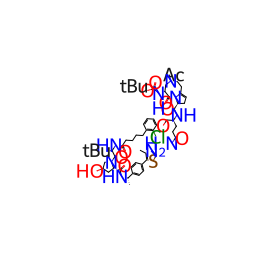 CC(=O)N1CCC2=CC[C@@H](C(=O)N[C@@H](CCC(N)=O)COc3cccc(CCCCC(=O)N[C@H](C(=O)N4C[C@H](O)C[C@H]4C(=O)N[C@@H](C)c4ccc(-c5scnc5C)cc4)C(C)(C)C)c3Cl)N2C(=O)[C@@H](NC(=O)OC(C)(C)C)C1